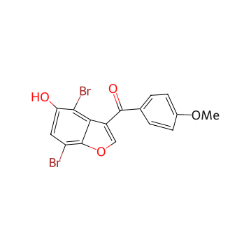 COc1ccc(C(=O)c2coc3c(Br)cc(O)c(Br)c23)cc1